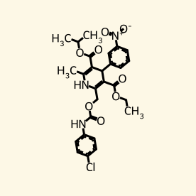 CCOC(=O)C1=C(COC(=O)Nc2ccc(Cl)cc2)NC(C)=C(C(=O)OC(C)C)C1c1cccc([N+](=O)[O-])c1